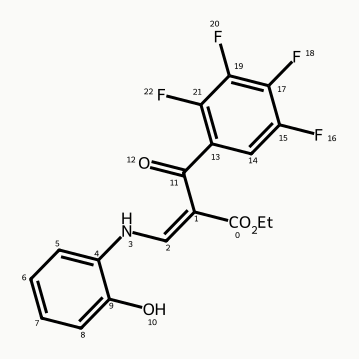 CCOC(=O)/C(=C/Nc1ccccc1O)C(=O)c1cc(F)c(F)c(F)c1F